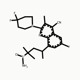 Cc1c(N2CCC(F)(F)CC2)nc2c(C(C)CC(C)(C)[S+](N)[O-])cc(F)cc2c1C#N